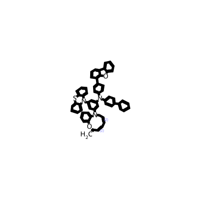 C=C1/C=C\C=C/CN(c2cc(N(c3ccc(-c4ccccc4)cc3)c3ccc(-c4cccc5c4oc4ccccc45)cc3)cc(N3c4ccccc4Sc4ccccc43)c2)c2ccccc2O1